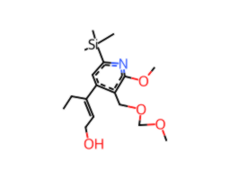 CCC(=CCO)c1cc([Si](C)(C)C)nc(OC)c1COCOC